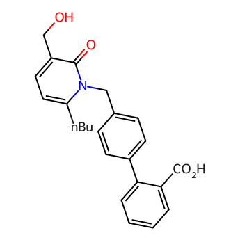 CCCCc1ccc(CO)c(=O)n1Cc1ccc(-c2ccccc2C(=O)O)cc1